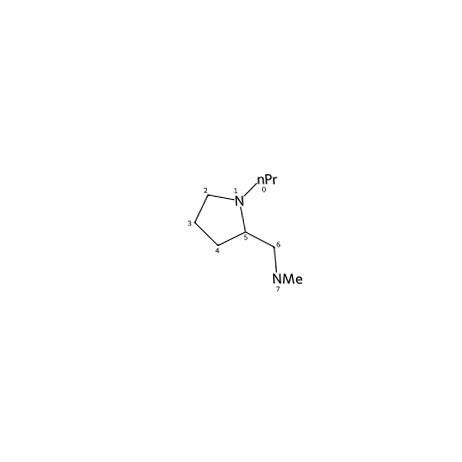 CCCN1CCCC1CNC